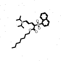 CCCCCCCCOC(=O)C(=CC=CN(C(C)C)C(C)C)S(=O)(=O)c1cccc2ccccc12